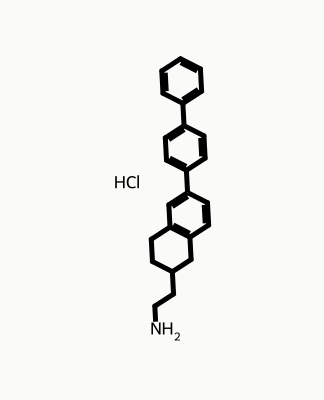 Cl.NCCC1CCc2cc(-c3ccc(-c4ccccc4)cc3)ccc2C1